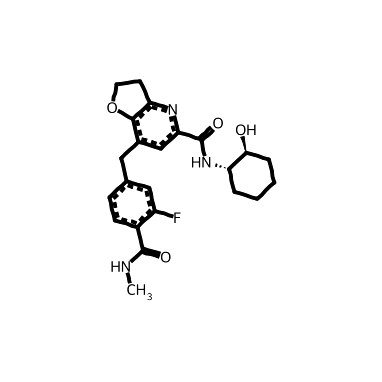 CNC(=O)c1ccc(Cc2cc(C(=O)N[C@H]3CCCC[C@@H]3O)nc3c2OCC3)cc1F